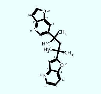 CC(C)(CC(C)(C)c1cc2ncccc2o1)c1cnc2ccoc2c1